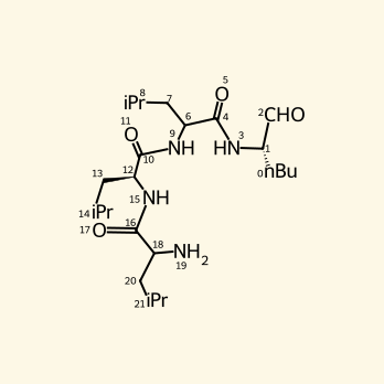 CCCC[C@@H](C=O)NC(=O)C(CC(C)C)NC(=O)[C@H](CC(C)C)NC(=O)C(N)CC(C)C